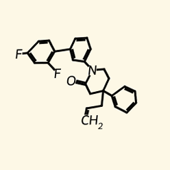 C=CCC1(c2ccccc2)CCN(c2cccc(-c3ccc(F)cc3F)c2)C(=O)C1